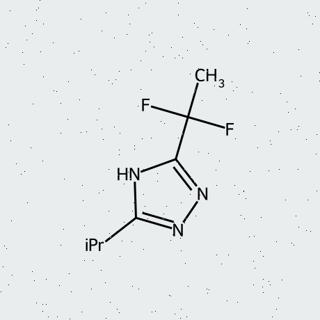 CC(C)c1nnc(C(C)(F)F)[nH]1